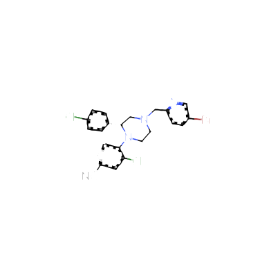 N#Cc1ccc(N2CCN(Cc3ccc(Br)cn3)C[C@H]2c2ccc(Cl)cc2)c(Cl)c1